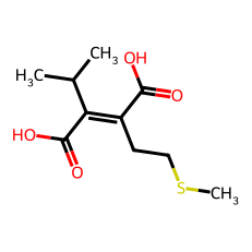 CSCCC(C(=O)O)=C(C(=O)O)C(C)C